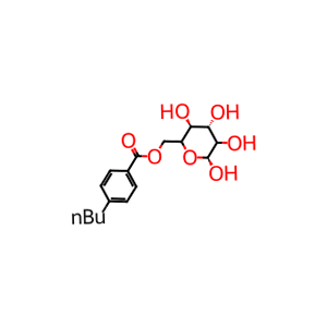 CCCCc1ccc(C(=O)OCC2O[C@H](O)C(O)[C@@H](O)[C@@H]2O)cc1